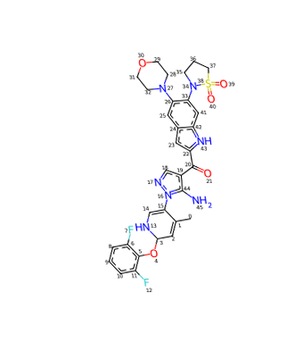 CC1=CC(Oc2c(F)cccc2F)NC=C1n1ncc(C(=O)c2cc3cc(N4CCOCC4)c(N4CCCS4(=O)=O)cc3[nH]2)c1N